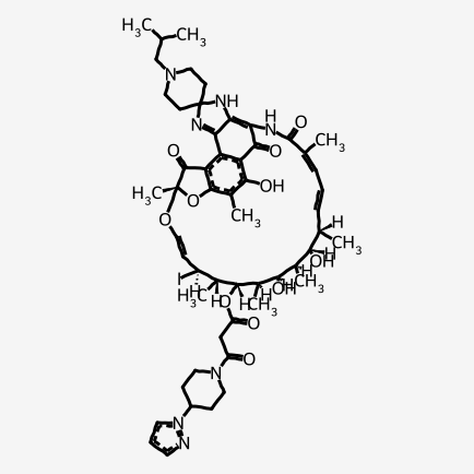 C/C1=C/C=C/[C@H](C)[C@H](O)[C@@H](C)[C@@H](O)[C@@H](C)[C@H](OC(=O)CC(=O)N2CCC(n3cccn3)CC2)[C@H](C)[C@@H](I)/C=C/O[C@@]2(C)Oc3c(C)c(O)c4c(c3C2=O)C2=NC3(CCN(CC(C)C)CC3)NC2=C(NC1=O)C4=O